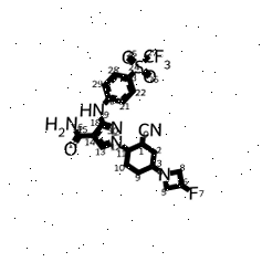 N#CC1CC(N2CC(F)C2)CCC1n1cc(C(N)=O)c(Nc2ccc(S(=O)(=O)C(F)(F)F)cc2)n1